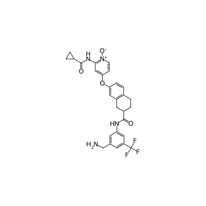 NCc1cc(NC(=O)C2CCc3ccc(Oc4cc[n+]([O-])c(NC(=O)C5CC5)c4)cc3C2)cc(C(F)(F)F)c1